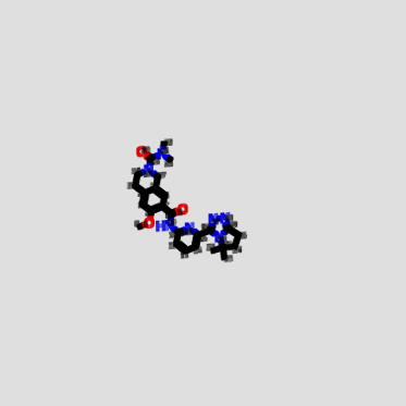 COc1cc2c(cc1C(=O)Nc1cccc(-c3nnc4n3C(C)(C)CC4)n1)CN(C(=O)N(C)C)CC2